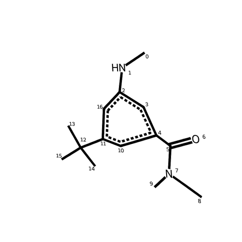 CNc1cc(C(=O)N(C)C)cc(C(C)(C)C)c1